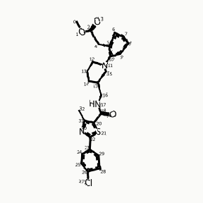 COC(=O)Cc1ccccc1N1CCCC(CNC(=O)c2sc(-c3ccc(Cl)cc3)nc2C)C1